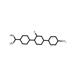 CCCCC(CCC)C1CCC(C2CCC(C3CCC(C)CC3)CC2F)CC1